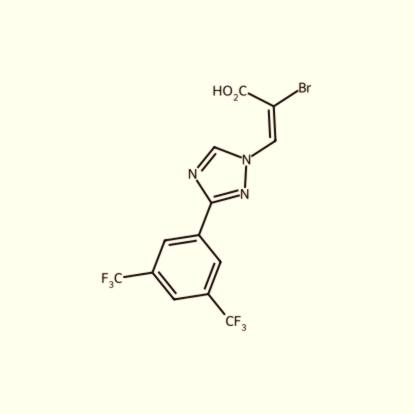 O=C(O)/C(Br)=C\n1cnc(-c2cc(C(F)(F)F)cc(C(F)(F)F)c2)n1